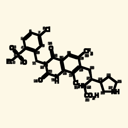 CCS(=O)(=O)c1ccc(Cl)cc1Cn1c(=O)[nH]c2c(Cl)c(C[C@H](NC(=O)O)C3CCNC3)c(C(F)(F)F)cc2c1=O